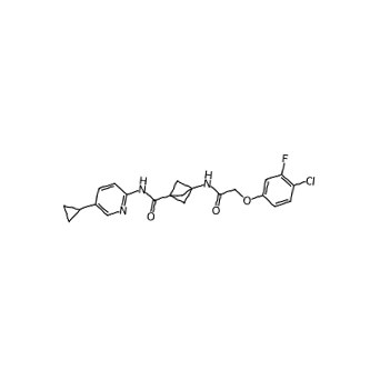 O=C(COc1ccc(Cl)c(F)c1)NC12CC(C(=O)Nc3ccc(C4CC4)cn3)(C1)C2